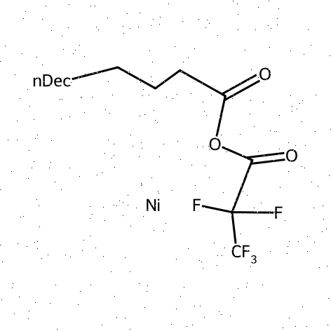 CCCCCCCCCCCCCC(=O)OC(=O)C(F)(F)C(F)(F)F.[Ni]